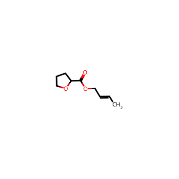 CC=CCOC(=O)C1CCCO1